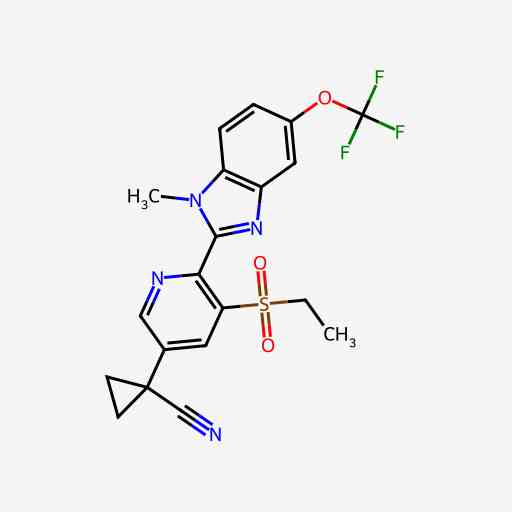 CCS(=O)(=O)c1cc(C2(C#N)CC2)cnc1-c1nc2cc(OC(F)(F)F)ccc2n1C